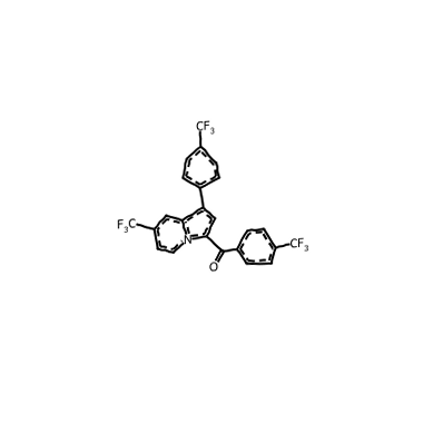 O=C(c1ccc(C(F)(F)F)cc1)c1cc(-c2ccc(C(F)(F)F)cc2)c2cc(C(F)(F)F)ccn12